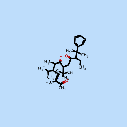 CCC(C(=O)CC(C(=O)C(C)C(/C=C(\C)C(C)=O)C(C)C)C(C)(C)C)C(C)(C)c1ccccc1